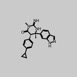 CN1C(=N)N[C@](C)(c2ccc3cn[nH]c3c2)[C@@H](c2ccc(C3CC3)cc2)C1=O